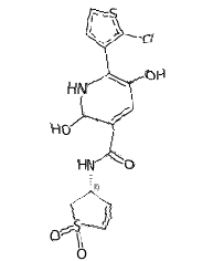 O=C(N[C@@H]1C=CS(=O)(=O)C1)C1=CC(O)=C(c2ccsc2Cl)NC1O